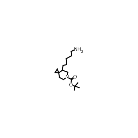 CC(C)(C)OC(=O)N1CCC2(CC2)C(CCCCCN)C1